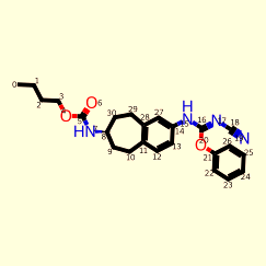 CCCCOC(=O)N[C@@H]1CCc2ccc(NC(=NC#N)Oc3ccccc3)cc2CC1